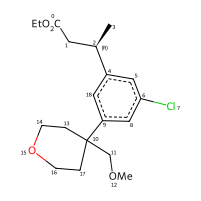 CCOC(=O)C[C@@H](C)c1cc(Cl)cc(C2(COC)CCOCC2)c1